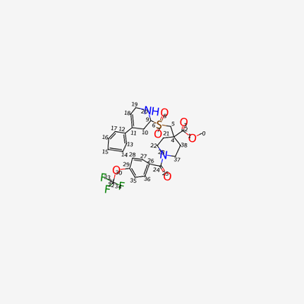 COC(=O)C1(CS(=O)(=O)C2CC(c3ccccc3)=CCN2)CCN(C(=O)c2ccc(OC(F)(F)F)cc2)CC1